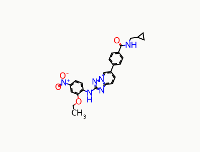 CCOc1cc([N+](=O)[O-])ccc1Nc1nc2ccc(-c3ccc(C(=O)NCC4CC4)cc3)cn2n1